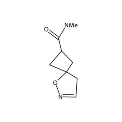 CNC(=O)C1CC2(CC=NO2)C1